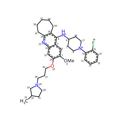 COc1cc2c(NC3CCN(c4ccccc4F)CC3)c3c(nc2cc1OCCCN1CCC(C)C1)CCCCC3